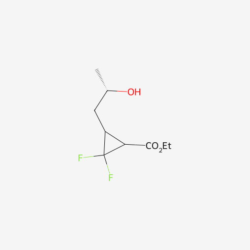 CCOC(=O)C1C(C[C@H](C)O)C1(F)F